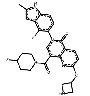 Cc1cc2c(F)c(-n3cc(C(=O)N4CCC(F)CC4)c4nc(OC5CNC5)ccc4c3=O)ccc2[nH]1